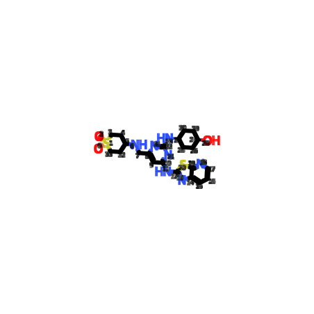 O=S1(=O)CCC(NCc2cc(Nc3nc4cccnc4s3)nc(N[C@H]3CC[C@H](O)CC3)n2)CC1